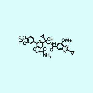 COc1cc(C(=O)NCC(O)(c2cc3c(c(-c4ccc5c(c4)OC(F)(F)O5)n2)OC[C@]3(C)C(N)=O)C2CC2)cc2sc(C3CC3)nc12